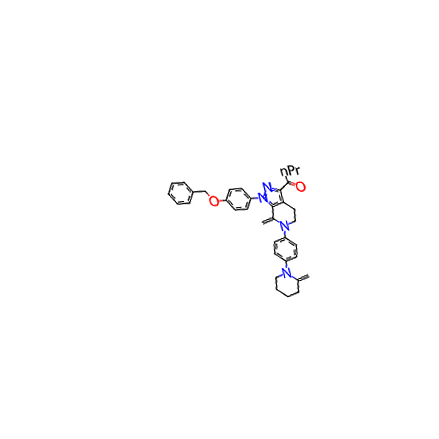 C=C1CCCCN1c1ccc(N2CCc3c(C(=O)CCC)nn(-c4ccc(OCc5ccccc5)cc4)c3C2=C)cc1